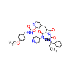 CCC(NC(=O)N1C(=O)[C@H](Cc2ccnc(OC(=O)NCc3ccc(OC)cc3)c2)[C@H]1C(=O)N(C)c1ccncc1)c1ccccc1